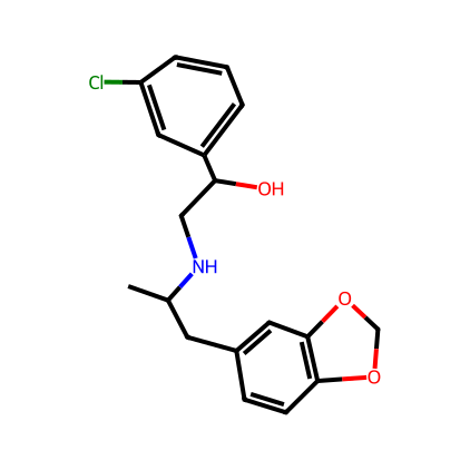 CC(Cc1ccc2c(c1)OCO2)NCC(O)c1cccc(Cl)c1